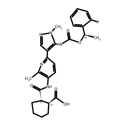 Cc1nc(-c2cnn(C)c2NC(=O)O[C@H](C)c2ccccc2F)ccc1NC(=O)[C@H]1CCCC[C@@H]1C(=O)O